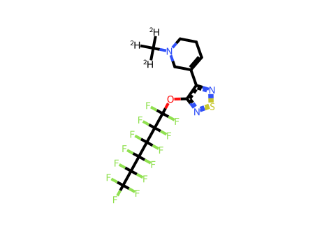 [2H]C([2H])([2H])N1CCC=C(c2nsnc2OC(F)(F)C(F)(F)C(F)(F)C(F)(F)C(F)(F)C(F)(F)F)C1